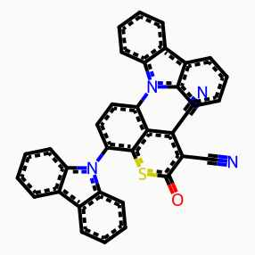 N#Cc1c(C#N)c2c(-n3c4ccccc4c4ccccc43)ccc(-n3c4ccccc4c4ccccc43)c2sc1=O